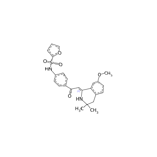 COc1ccc2c(c1)/C(=C/C(=O)c1ccc(NS(=O)(=O)c3ccco3)cc1)NC(C)(C)C2